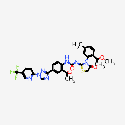 COC(C)c1ccc(C)cc1N1C(=O)CSC1=NC(=O)Nc1ccc(-c2ncn(-c3ccc(C(F)(F)F)cn3)n2)cc1C(C)=O